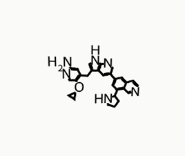 Nc1cc(Cc2c[nH]c3ncc(-c4cc(C5CCCN5)c5cnccc5c4)cc23)c(OC2CC2)cn1